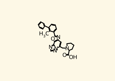 Cc1c(-c2ccccc2)cccc1-c1nc2cc(CN3CCCCC3C(=O)O)n3ncnc3c2o1